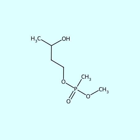 COP(C)(=O)OCCC(C)O